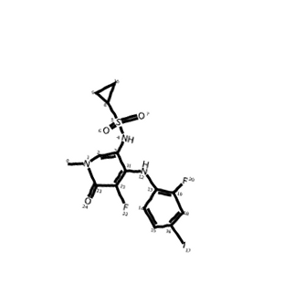 Cn1cc(NS(=O)(=O)C2CC2)c(Nc2ccc(I)cc2F)c(F)c1=O